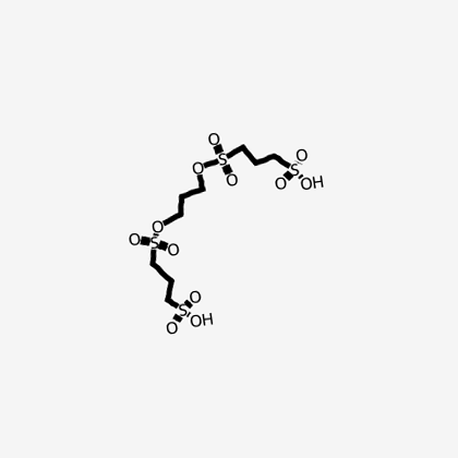 O=S(=O)(O)CCCS(=O)(=O)OCCCOS(=O)(=O)CCCS(=O)(=O)O